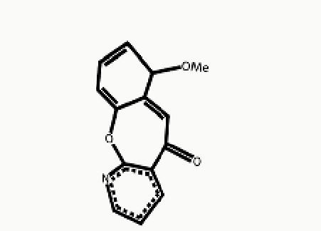 COC1C=CC=C2Oc3ncccc3C(=O)C=C21